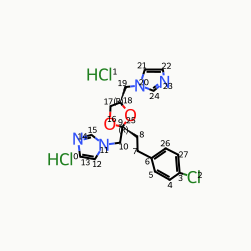 Cl.Cl.Clc1ccc(CC[C@@]2(Cn3ccnc3)OC[C@@H](Cn3ccnc3)O2)cc1